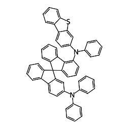 c1ccc(N(c2ccccc2)c2ccc3c(c2)C2(c4ccccc4-3)c3ccccc3-c3c(N(c4ccccc4)c4ccc5c(c4)sc4ccccc45)cccc32)cc1